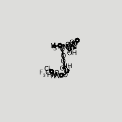 C=C(C)[C@@H](C(=O)N1C[C@H](O)C[C@H]1C(=O)NCc1ccc(-c2scnc2C)cc1OCCCOCCOCCNC(=O)c1cc(Oc2ccc(NC(=O)Nc3ccc(Cl)c(C(F)(F)F)c3)cc2)ccn1)N1Cc2ccccc2C1=O